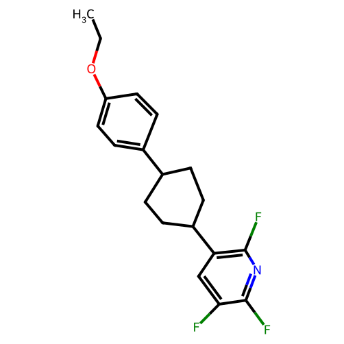 CCOc1ccc(C2CCC(c3cc(F)c(F)nc3F)CC2)cc1